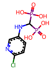 O=P(O)(O)C(Nc1ccc(Cl)nc1)P(=O)(O)O